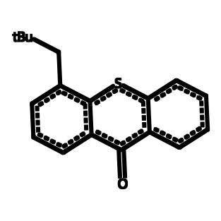 CC(C)(C)Cc1cccc2c(=O)c3ccccc3sc12